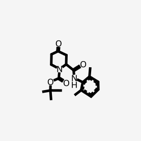 Cc1cccc(C)c1NC(=O)C1CC(=O)CCN1C(=O)OC(C)(C)C